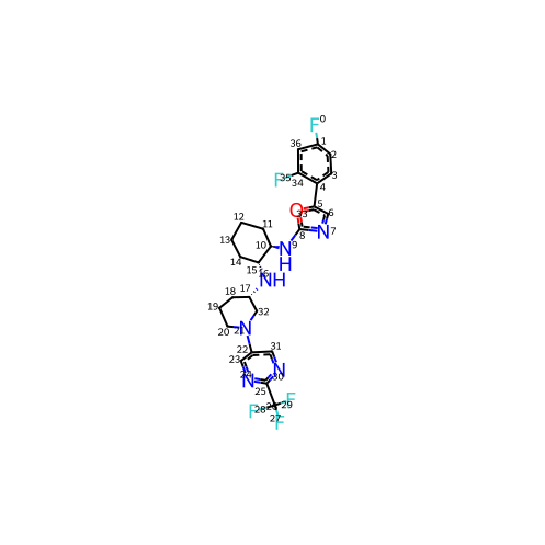 Fc1ccc(-c2cnc(N[C@@H]3CCCC[C@H]3N[C@H]3CCCN(c4cnc(C(F)(F)F)nc4)C3)o2)c(F)c1